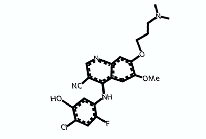 COc1cc2c(Nc3cc(O)c(Cl)cc3F)c(C#N)cnc2cc1OCCCN(C)C